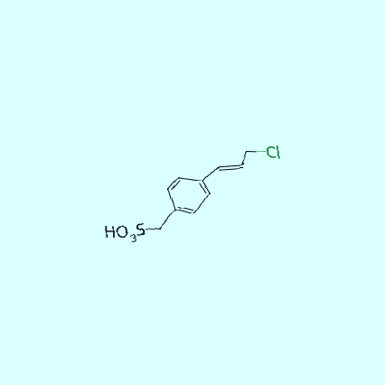 O=S(=O)(O)Cc1ccc(/C=C/CCl)cc1